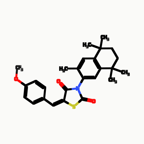 Cc1cc2c(cc1N1C(=O)S/C(=C/c3ccc(OC(F)(F)F)cc3)C1=O)C(C)(C)CCC2(C)C